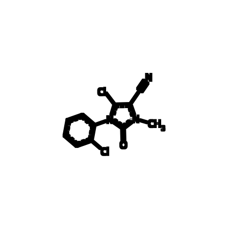 Cn1c(C#N)c(Cl)n(-c2ccccc2Cl)c1=O